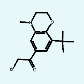 CN1CCOc2c1cc(C(=O)CBr)cc2C(C)(C)C